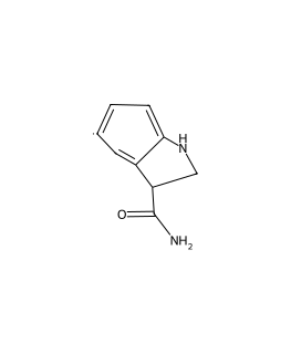 NC(=O)C1CNc2cc[c]cc21